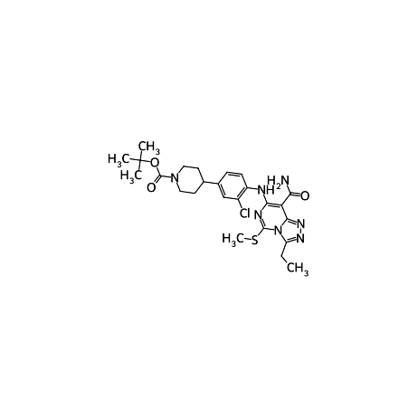 CCc1nnc2c(C(N)=O)c(Nc3ccc(C4CCN(C(=O)OC(C)(C)C)CC4)cc3Cl)nc(SC)n12